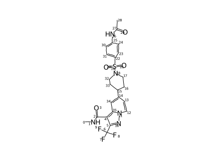 CNC(=O)c1c(C(F)(F)F)nn2ccc(C3CCN(S(=O)(=O)c4ccc(NC(C)=O)cc4)CC3)cc12